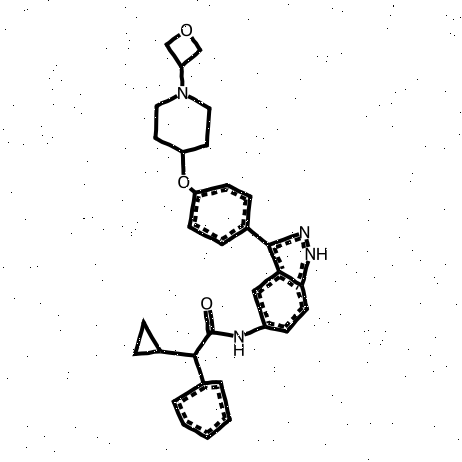 O=C(Nc1ccc2[nH]nc(-c3ccc(OC4CCN(C5COC5)CC4)cc3)c2c1)C(c1ccccc1)C1CC1